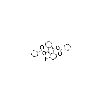 O=C(Oc1c2ccccc2c(OC(=O)c2ccccc2)c2c(F)cccc12)c1ccccc1